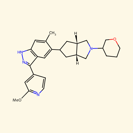 COc1cc(-c2n[nH]c3cc(C)c(C4C[C@@H]5CN(C6CCCOC6)C[C@@H]5C4)cc23)ccn1